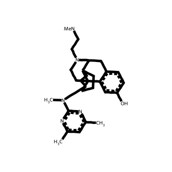 CNCCN1CCC23c4cc(O)ccc4CC1C21CCC(N(C)c2nc(C)cc(C)n2)C3CC1